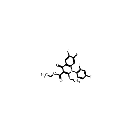 CCOC(=O)c1c(SC)n(-c2ccc(F)cc2I)c2cc(F)c(F)cc2c1=O